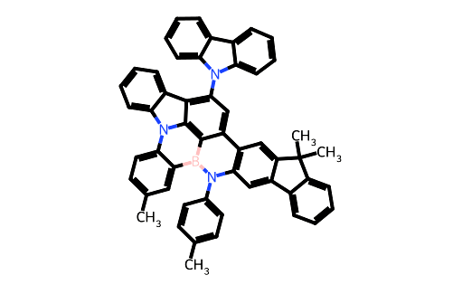 Cc1ccc(N2B3c4cc(C)ccc4-n4c5ccccc5c5c(-n6c7ccccc7c7ccccc76)cc(c3c54)-c3cc4c(cc32)-c2ccccc2C4(C)C)cc1